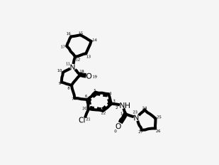 O=C(Nc1ccc(CC2CCN(C3CCCCC3)C2=O)c(Cl)c1)N1CCCC1